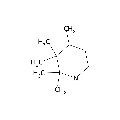 CC1CC[N]C(C)(C)C1(C)C